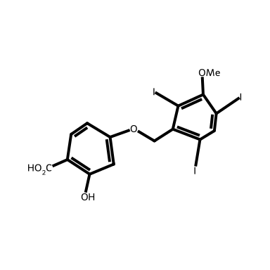 COc1c(I)cc(I)c(COc2ccc(C(=O)O)c(O)c2)c1I